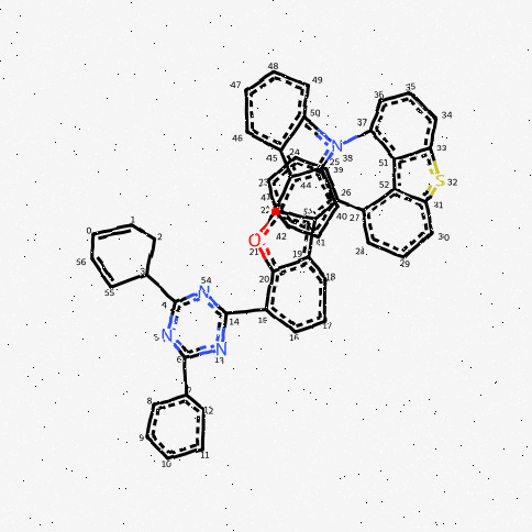 C1=CCC(c2nc(-c3ccccc3)nc(-c3cccc4c3oc3cccc(-c5cccc6sc7cccc(-n8c9ccccc9c9ccccc98)c7c56)c34)n2)C=C1